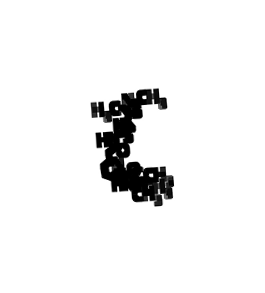 Cc1nc(C)c(-c2csc(NC(=O)Cc3cccc(C(=O)N[C@H](C)C(C)(C)C)n3)n2)s1